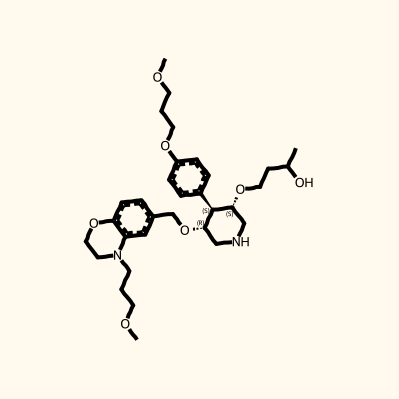 COCCCOc1ccc([C@@H]2[C@@H](OCc3ccc4c(c3)N(CCCOC)CCO4)CNC[C@H]2OCCC(C)O)cc1